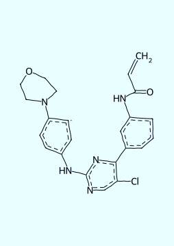 C=CC(=O)Nc1cccc(-c2nc(Nc3c[c]c(N4CCOCC4)cc3)ncc2Cl)c1